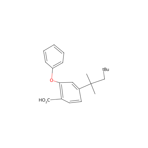 CC(C)(C)CC(C)(C)c1ccc(C(=O)O)c(Oc2ccccc2)c1